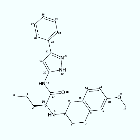 CCC[C@H](NC1CCc2cc(OC)ccc2C1)C(=O)Nc1cc(-c2ccccc2)n[nH]1